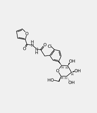 O=C(Cc1cc([C@@H]2O[C@H](CO)[C@@H](O)[C@H](O)[C@@H]2O)ccc1Cl)NNC(=O)c1ccco1